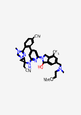 COCCN(C)Cc1cc2c(c(C(F)(F)F)c1)CN(c1cc(-c3cc(C#N)ccc3-c3nncn3C)cc(NC3(CC#N)CC3)n1)C2O